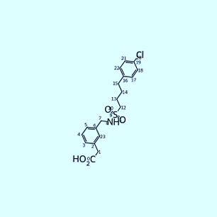 O=C(O)Cc1cccc(CNS(=O)(=O)CCCCc2ccc(Cl)cc2)c1